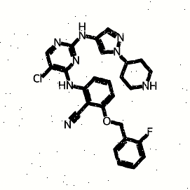 N#Cc1c(Nc2nc(Nc3cnn(C4CCNCC4)c3)ncc2Cl)cccc1OCc1ccccc1F